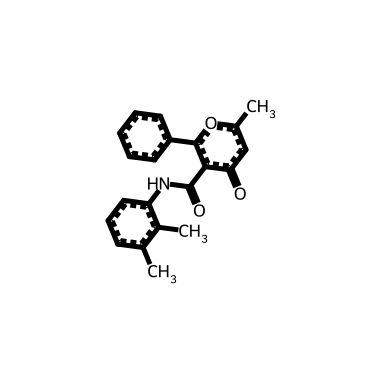 Cc1cc(=O)c(C(=O)Nc2cccc(C)c2C)c(-c2ccccc2)o1